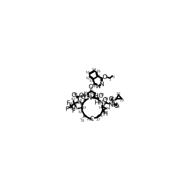 CCOc1nnc(O[C@@H]2C[C@H]3C(=O)N[C@]4(C(=O)NS(=O)(=O)C5CC5)C[C@H]4C=CCC[C@H](C)C[C@@H](C)[C@H](N(C(=O)O)C(C)(C)C(F)(F)F)C(=O)N3C2)c2ccccc12